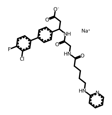 O=C([O-])CC(NC(=O)CNC(=O)CCCCNc1ccccn1)c1ccc(-c2ccc(F)c(Cl)c2)cc1.[Na+]